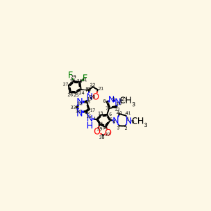 CN1CCN(c2c(-c3cnn(C)c3)cc(Nc3cc(N4OCC[C@@H]4c4cccc(F)c4F)ncn3)c3c2OCO3)CC1